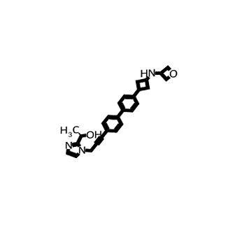 C[C@H](O)c1nccn1CC#Cc1ccc(-c2ccc(C3CC(NC4COC4)C3)cc2)cc1